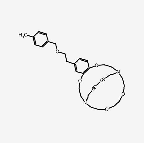 Cc1ccc(COCCc2ccc3c(c2)OCCN2CCOCCOCCN(CCOCCOCC2)CCO3)cc1